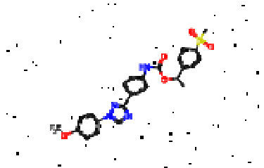 CC(OC(=O)Nc1ccc(-c2ncn(-c3ccc(OC(F)(F)F)cc3)n2)cc1)c1ccc(S(C)(=O)=O)cc1